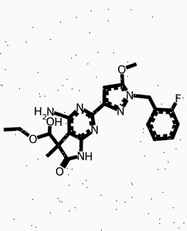 CCOC(O)C1(C)C(=O)Nc2nc(-c3cc(OC)n(Cc4ccccc4F)n3)nc(N)c21